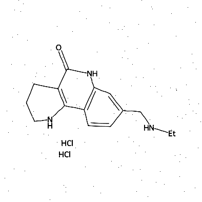 CCNCc1ccc2c3c(c(=O)[nH]c2c1)CCCN3.Cl.Cl